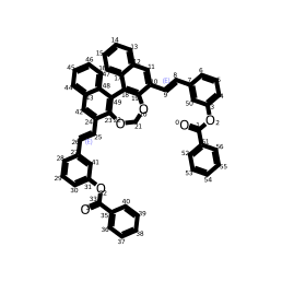 O=C(Oc1cccc(/C=C/c2cc3ccccc3c3c2OCOc2c(/C=C/c4cccc(OC(=O)c5ccccc5)c4)cc4ccccc4c2-3)c1)c1ccccc1